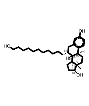 C[C@]12CC[C@@H]3c4ccc(O)cc4C[C@@H](CCCCCCCCCCCO)[C@H]3[C@@H]1CC[C@@H]2O